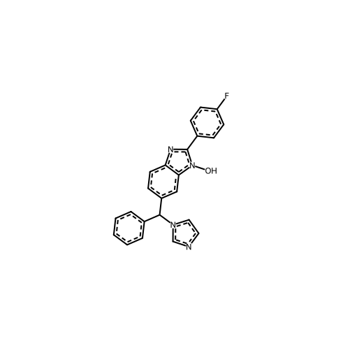 On1c(-c2ccc(F)cc2)nc2ccc(C(c3ccccc3)n3ccnc3)cc21